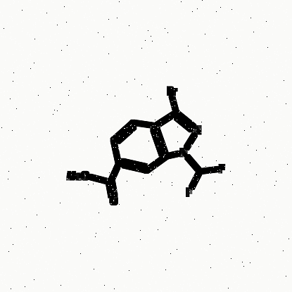 COC(=O)c1ccc2c(Br)nn(C(F)F)c2c1